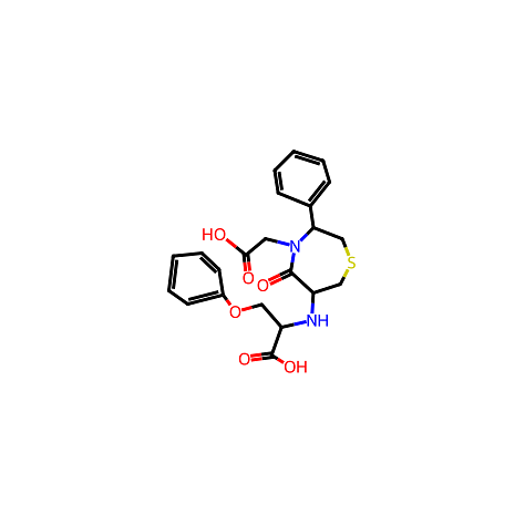 O=C(O)CN1C(=O)C(NC(COc2ccccc2)C(=O)O)CSCC1c1ccccc1